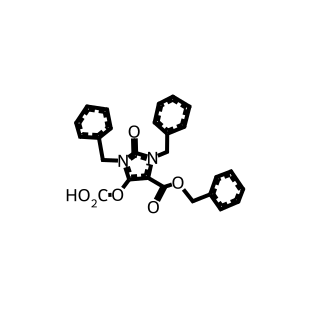 O=C(O)Oc1c(C(=O)OCc2ccccc2)n(Cc2ccccc2)c(=O)n1Cc1ccccc1